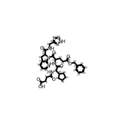 O=C(O)CCC(=O)N[C@H](C(=O)NC(CCC(=O)OCc1ccccc1)C(=O)N1c2ncccc2CC1C(=O)NCc1nn[nH]n1)C1CCCC1